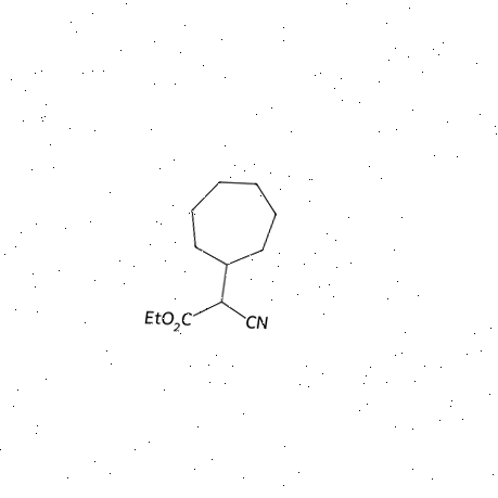 CCOC(=O)C(C#N)C1CCCCCC1